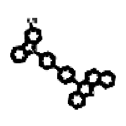 N#Cc1ccc2c(c1)c1ccccc1n2-c1ccc(-c2ccc(-c3c4ccccc4nc4c3ccc3ccccc34)cc2)cc1